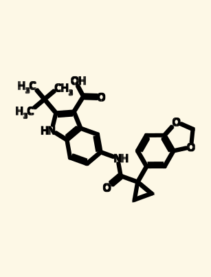 CC(C)(C)c1[nH]c2ccc(NC(=O)C3(c4ccc5c(c4)OCO5)CC3)cc2c1C(=O)O